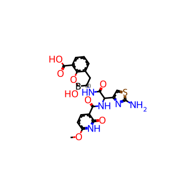 COc1ccc(C(=O)NC(C(=O)N[C@H]2Cc3cccc(C(=O)O)c3OB2O)c2csc(N)n2)c(=O)[nH]1